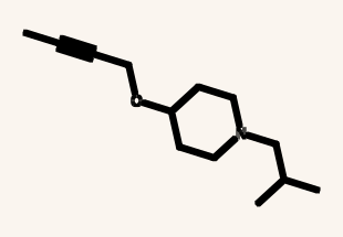 CC#CCOC1CCN(CC(C)C)CC1